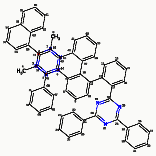 Cc1cc(C)nc(-c2cccc(-c3ccccc3-c3nc(-c4ccccc4)nc(-c4ccccc4)n3)c2-c2ccccc2-c2nc(-c3ccccc3)nc(-c3cccc4ccccc34)n2)n1